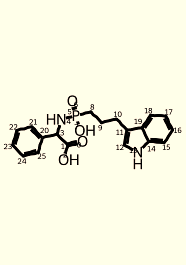 O=C(O)C(NP(=O)(O)CCCc1c[nH]c2ccccc12)c1ccccc1